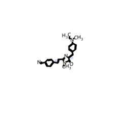 CCN(C)c1ccc(/C=C2N=C(/C=C/c3ccc(C#N)cc3)N(C)C\2=O)cc1